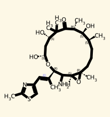 C/C(=C\c1csc(C)n1)[C@H]1O[C@H](O)C[C@H](O)C(C)(C)C(=O)[C@H](C)[C@@H](O)[C@@H](C)CCC[C@@]2(C)O[C@H]2C1N